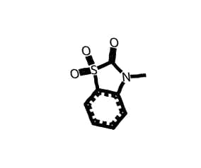 CN1C(=O)S(=O)(=O)c2ccccc21